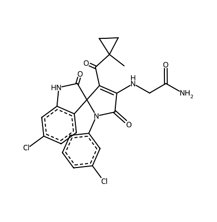 CC1(C(=O)C2=C(NCC(N)=O)C(=O)N(c3cccc(Cl)c3)C23C(=O)Nc2cc(Cl)ccc23)CC1